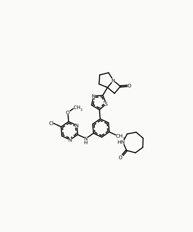 COc1nc(Nc2cc(C)cc(-c3cnc(C45CCCN4C(=O)C5)s3)c2)ncc1Cl.O=C1CCCCCN1